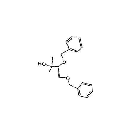 CC(C)(O)[C@H](COCc1ccccc1)OCc1ccccc1